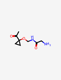 CC(=O)C1(OCNC(=O)CN)CC1